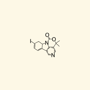 CC1(C)OC(=O)N2c3c(cncc31)C1=CC=C(I)CC12